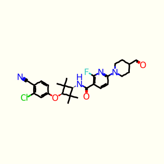 CC1(C)[C@H](NC(=O)c2ccc(N3CCC(C=O)CC3)nc2F)C(C)(C)[C@H]1Oc1ccc(C#N)c(Cl)c1